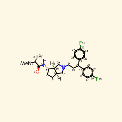 CCC[C@H](NC)C(=O)N[C@H]1CC[C@@H]2CN(CCC(c3ccc(F)cc3)c3ccc(F)cc3)C[C@@H]21